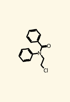 O=C(c1ccccc1)N(CCCl)c1ccccc1